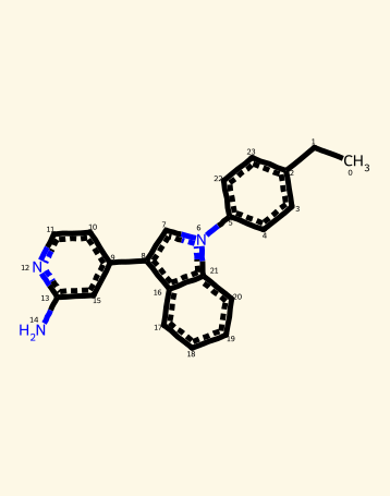 CCc1ccc(-n2cc(-c3ccnc(N)c3)c3ccccc32)cc1